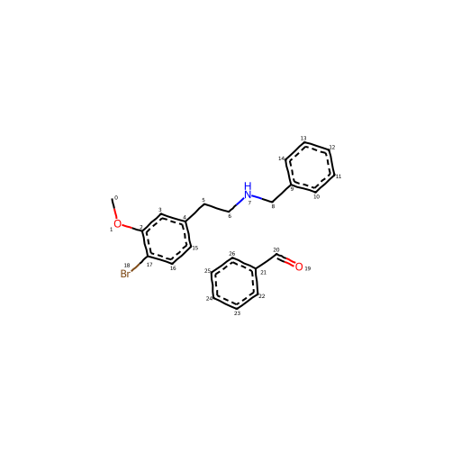 COc1cc(CCNCc2ccccc2)ccc1Br.O=Cc1ccccc1